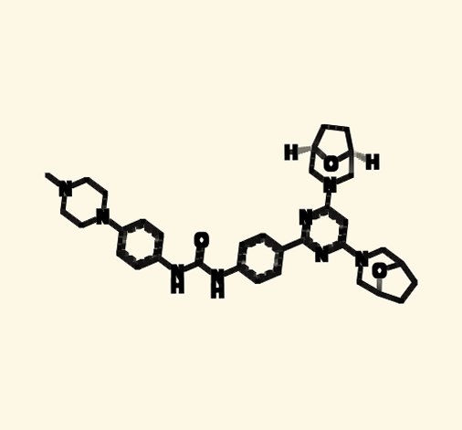 CN1CCN(c2ccc(NC(=O)Nc3ccc(-c4nc(N5CC6CCC(C5)O6)cc(N5C[C@H]6CC[C@@H](C5)O6)n4)cc3)cc2)CC1